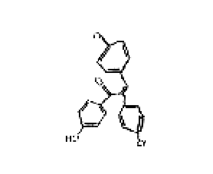 O=C(C(=Cc1ccc(Cl)cc1)c1ccc(Cl)cc1)c1ccc(O)cc1